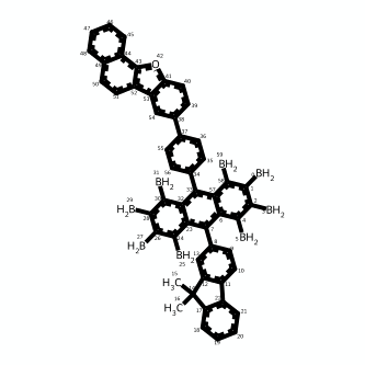 Bc1c(B)c(B)c2c(-c3ccc4c(c3)C(C)(C)c3ccccc3-4)c3c(B)c(B)c(B)c(B)c3c(-c3ccc(-c4ccc5oc6c7ccccc7ccc6c5c4)cc3)c2c1B